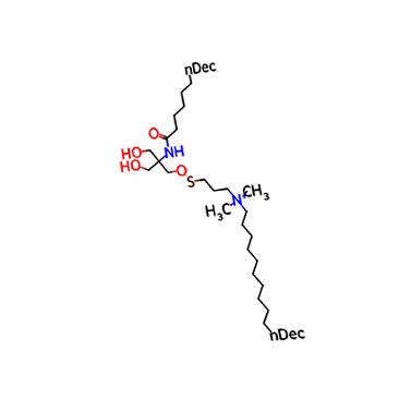 CCCCCCCCCCCCCCCCCCCC[N+](C)(C)CCCSOCC(CO)(CO)NC(=O)CCCCCCCCCCCCCCC